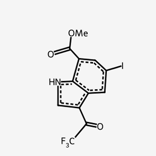 COC(=O)c1cc(I)cc2c(C(=O)C(F)(F)F)c[nH]c12